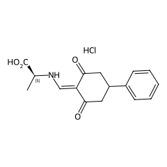 C[C@H](NC=C1C(=O)CC(c2ccccc2)CC1=O)C(=O)O.Cl